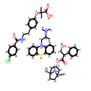 CC(C)(Oc1ccc(CCNC(=O)c2ccc(Cl)cc2)cc1)C(=O)O.CC(CN1c2ccccc2Sc2ccccc21)N(C)C.CN1[C@@H]2CC[C@H]1C[C@@H](OC(=O)C(CO)c1ccccc1)C2